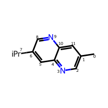 Cc1cnc2cc(C(C)C)cnc2c1